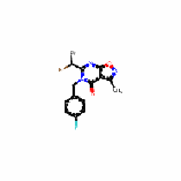 Cc1noc2nc(C(Br)C(C)C)n(Cc3ccc(F)cc3)c(=O)c12